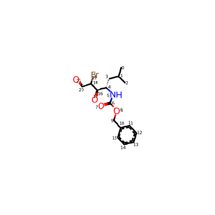 CC(C)C[C@H](NC(=O)OCc1ccccc1)C(=O)C(Br)C=O